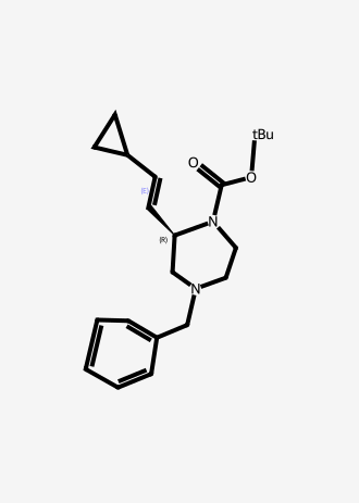 CC(C)(C)OC(=O)N1CCN(Cc2ccccc2)C[C@H]1/C=C/C1CC1